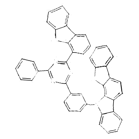 c1ccc(-c2nc(-c3cccc(-n4c5ccccc5c5ccc6c7ccccc7sc6c54)c3)nc(-c3cccc4c3sc3ccccc34)n2)cc1